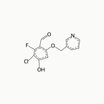 O=Cc1c(OCc2cccnc2)cc(O)c(Cl)c1F